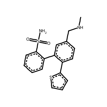 CNCc1ccc(-c2cccs2)c(-c2ccccc2S(N)(=O)=O)c1